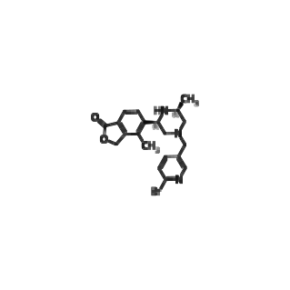 Cc1c([C@@H]2CN(Cc3ccc(Br)nc3)C[C@H](C)N2)ccc2c1COC2=O